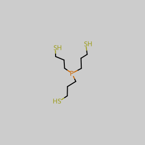 SCCCP(CCCS)CCCS